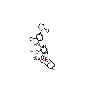 Cc1c(Nc2ccc(N3CCCC3=O)cc2Cl)ncnc1OC1CC2COCC(C1)N2C(=O)OC(C)(C)C